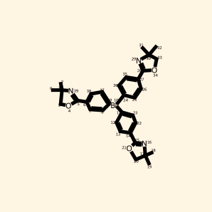 CC1(C)COC(c2cc[c]([Bi]([c]3ccc(C4=NC(C)(C)CO4)cc3)[c]3ccc(C4=NC(C)(C)CO4)cc3)cc2)=N1